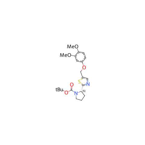 COc1ccc(OCc2cnc([C@@H]3CCCN3C(=O)OC(C)(C)C)s2)cc1OC